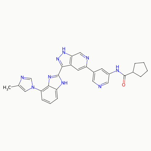 Cc1cn(-c2cccc3[nH]c(-c4n[nH]c5cnc(-c6cncc(NC(=O)C7CCCC7)c6)cc45)nc23)cn1